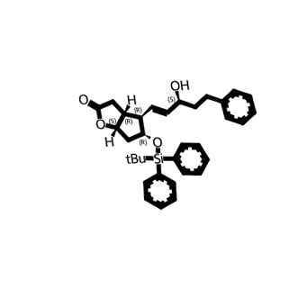 CC(C)(C)[Si](O[C@@H]1C[C@@H]2OC(=O)C[C@@H]2[C@H]1C=C[C@@H](O)CCc1ccccc1)(c1ccccc1)c1ccccc1